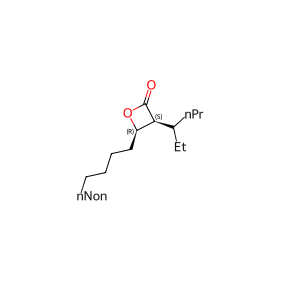 CCCCCCCCCCCCC[C@H]1OC(=O)[C@H]1C(CC)CCC